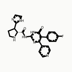 O=C(Nc1nc(-c2ccncc2)c(-c2ccc(F)cc2)c(=O)[nH]1)[C@@H]1NCCC1c1ncc[nH]1